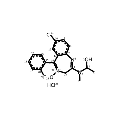 CC(O)N(C)C1=Nc2ccc(Cl)cc2C(c2ccccc2F)=[N+]([O-])C1.Cl